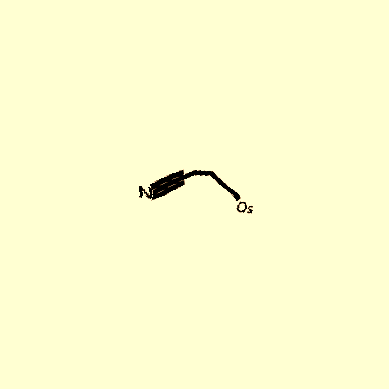 N#C[CH2][Os]